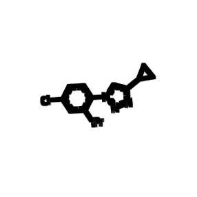 CC(C)c1cc(Cl)ccc1-n1cc(C2CC2)nn1